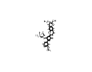 CCN(CC)Cc1cc(C2CCc3ccc(C[C@H](C)C(=O)O)cc3O2)c(F)cc1-c1ccnc(OC)c1